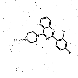 CN1CCN(c2nc(-c3ccc(F)cc3F)nc3ccccc23)CC1